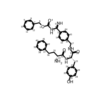 N=C(NC(=O)OCc1ccccc1)c1ccc(CNC(=O)[C@H](Cc2ccc(O)cc2)NC(=O)[C@H](N)CCc2ccccc2)cc1